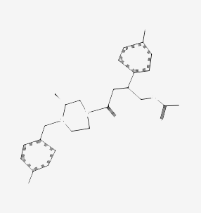 CC(=O)NCC(CC(=O)N1C[C@H](C)N(Cc2ccc(F)cc2)C[C@H]1C)c1ccc(Cl)cc1